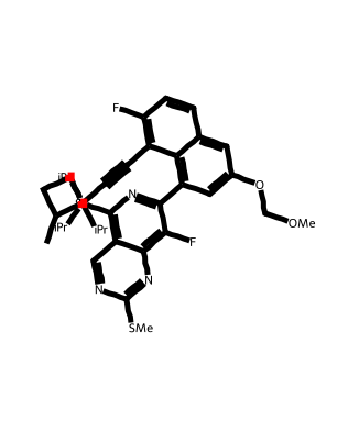 COCOc1cc(-c2nc(N3CCC3C)c3cnc(SC)nc3c2F)c2c(C#C[Si](C(C)C)(C(C)C)C(C)C)c(F)ccc2c1